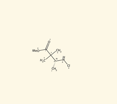 COC(=O)C(C)(C)[C@@H](C)NCl